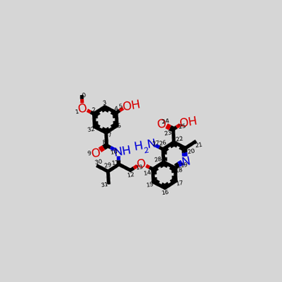 COc1cc(O)cc(C(=O)NC(COc2cccc3nc(C)c(C(=O)O)c(N)c23)C(C)C)c1